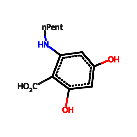 CCCCCNc1cc(O)cc(O)c1C(=O)O